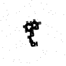 C#CCOc1cccc2ccoc12